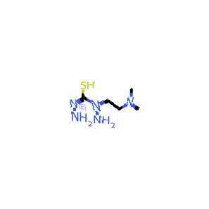 CN(C)CCN(N)/C(S)=N\N